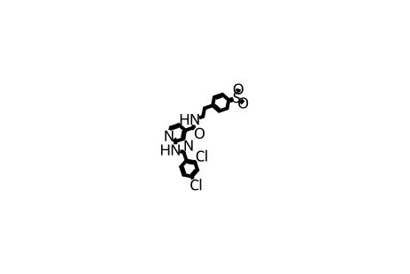 O=C(NCCC1=CCC(=S(=O)=O)C=C1)c1ccnc2[nH]c(-c3ccc(Cl)cc3Cl)nc12